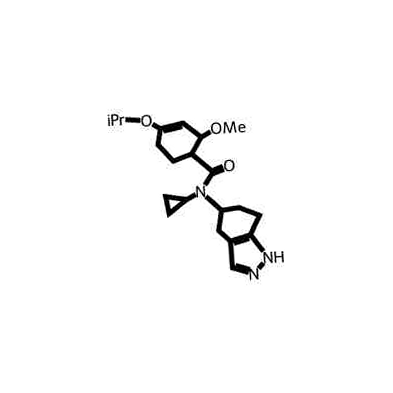 COC1C=C(OC(C)C)CCC1C(=O)N(C1CC1)C1CCc2[nH]ncc2C1